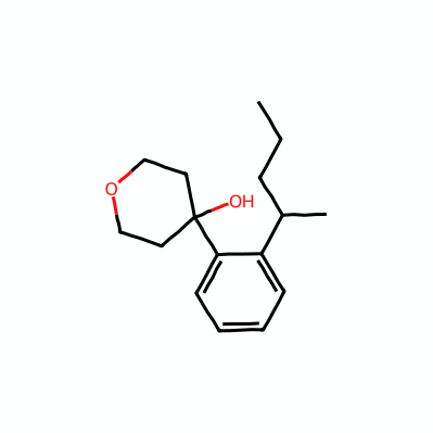 CCCC(C)c1ccccc1C1(O)CCOCC1